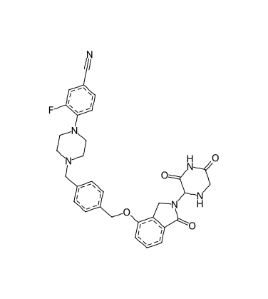 N#Cc1ccc(N2CCN(Cc3ccc(COc4cccc5c4CN(C4NCC(=O)NC4=O)C5=O)cc3)CC2)c(F)c1